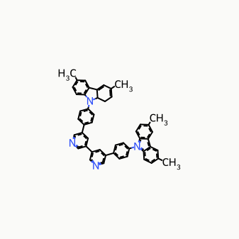 CC1=CCC2C(=C1)c1cc(C)ccc1N2c1ccc(-c2cncc(-c3cncc(-c4ccc(-n5c6ccc(C)cc6c6cc(C)ccc65)cc4)c3)c2)cc1